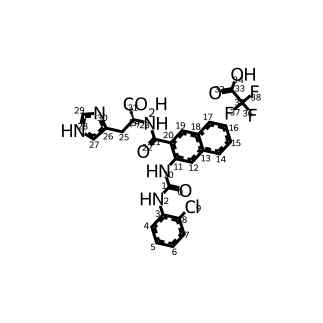 O=C(Nc1ccccc1Cl)Nc1cc2ccccc2cc1C(=O)N[C@@H](Cc1c[nH]cn1)C(=O)O.O=C(O)C(F)(F)F